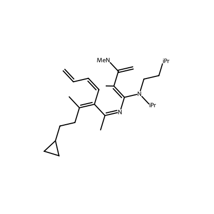 C=C\C=C/C(C(/C)=N\C(=C(/C)C(=C)NC)N(CCC(C)C)C(C)C)=C(\C)CCC1CC1